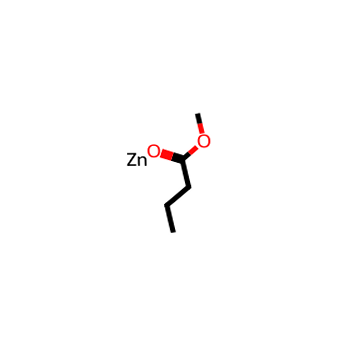 CCCC(=O)OC.[Zn]